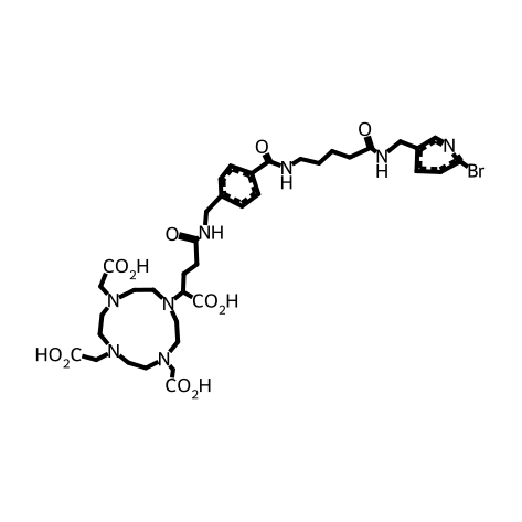 O=C(O)CN1CCN(CC(=O)O)CCN(C(CCC(=O)NCc2ccc(C(=O)NCCCCC(=O)NCc3ccc(Br)nc3)cc2)C(=O)O)CCN(CC(=O)O)CC1